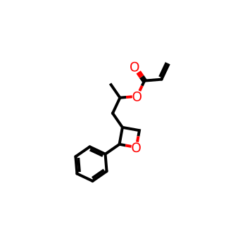 C=CC(=O)OC(C)CC1COC1c1ccccc1